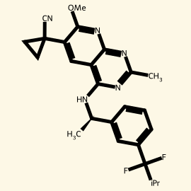 COc1nc2nc(C)nc(N[C@H](C)c3cccc(C(F)(F)C(C)C)c3)c2cc1C1(C#N)CC1